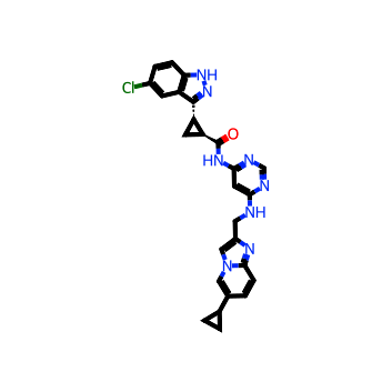 O=C(Nc1cc(NCc2cn3cc(C4CC4)ccc3n2)ncn1)[C@H]1C[C@@H]1c1n[nH]c2ccc(Cl)cc12